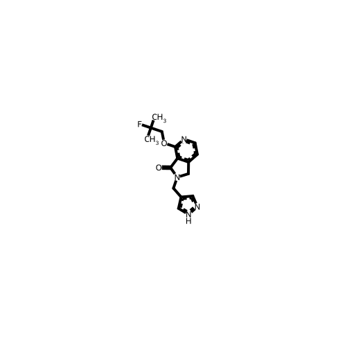 CC(C)(F)COc1nccc2c1C(=O)N(Cc1cn[nH]c1)C2